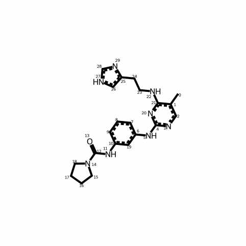 Cc1cnc(Nc2cccc(NC(=O)N3CCCC3)c2)nc1NCCc1c[nH]cn1